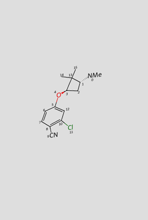 CN[C@@H]1C[C@@H](Oc2ccc(C#N)c(Cl)c2)C1(C)C